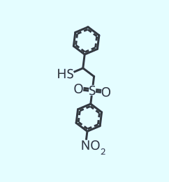 O=[N+]([O-])c1ccc(S(=O)(=O)CC(S)c2ccccc2)cc1